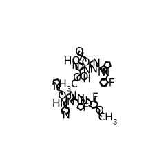 CCOC(=O)c1cnccc1Nc1nc(-c2nn(Cc3ccccc3F)c3c2CCC3)ncc1OCC1(CO)COC1.CCOc1cc(F)c(Cn2nc(-c3ncc(OCCN4CCCC4)c(Nc4ccncc4)n3)c3c2CCC3)c(F)c1